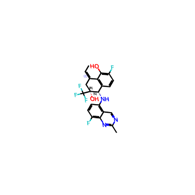 C/C=C1/C[C@](O)(C(F)(F)F)[C@@H](Nc2ccc(F)c3nc(C)ncc23)c2ccc(F)c(O)c21